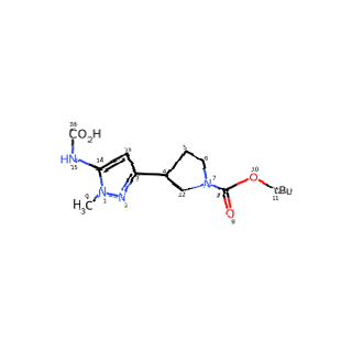 Cn1nc(C2CCN(C(=O)OC(C)(C)C)C2)cc1NC(=O)O